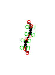 CC(C)(c1cc(Cl)c(OCCCCOc2c(Cl)cc(C(C)(C)c3cc(Cl)c(OCCC4CO4)c(Cl)c3)cc2Cl)c(Cl)c1)c1cc(Cl)c(OCCC2CO2)c(Cl)c1